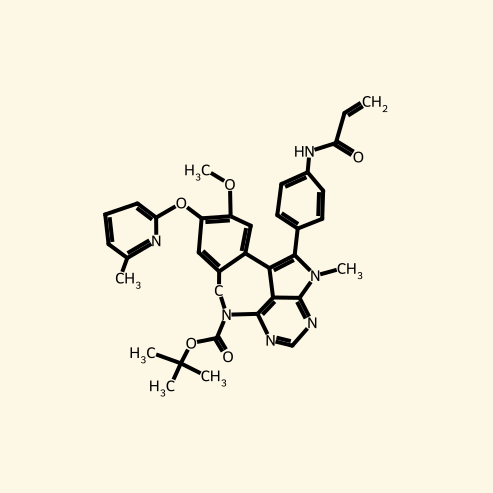 C=CC(=O)Nc1ccc(-c2c3c4c(ncnc4n2C)N(C(=O)OC(C)(C)C)Cc2cc(Oc4cccc(C)n4)c(OC)cc2-3)cc1